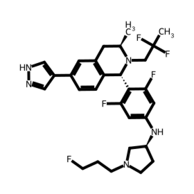 C[C@@H]1Cc2cc(-c3cn[nH]c3)ccc2[C@@H](c2c(F)cc(N[C@H]3CCN(CCCF)C3)cc2F)N1CC(C)(F)F